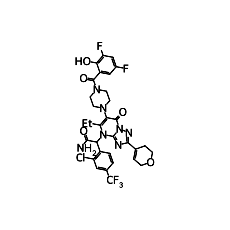 CCc1c(N2CCN(C(=O)c3cc(F)cc(F)c3O)CC2)c(=O)n2nc(C3=CCOCC3)nc2n1C(C(N)=O)c1ccc(C(F)(F)F)cc1Cl